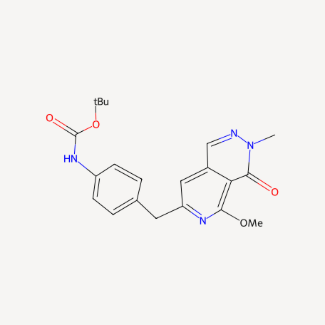 COc1nc(Cc2ccc(NC(=O)OC(C)(C)C)cc2)cc2cnn(C)c(=O)c12